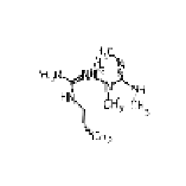 C=CCNC(=N)N.CN=C(NC)N(C)C